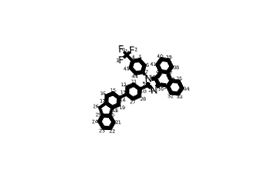 FC(F)(F)c1ccc(-n2c(-c3ccc(-c4ccc5c(c4)-c4ccccc4C5)cc3)nc3c4ccccc4c4ccccc4c32)cc1